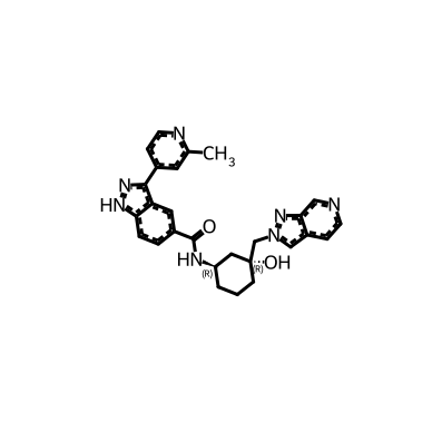 Cc1cc(-c2n[nH]c3ccc(C(=O)N[C@@H]4CCC[C@](O)(Cn5cc6ccncc6n5)C4)cc23)ccn1